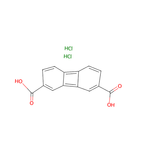 Cl.Cl.O=C(O)c1ccc2c(c1)=c1cc(C(=O)O)ccc1=2